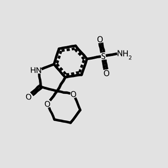 NS(=O)(=O)c1ccc2c(c1)C1(OCCCO1)C(=O)N2